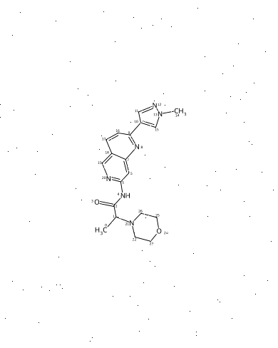 CC(C(=O)Nc1cc2nc(-c3cnn(C)c3)ccc2cn1)N1CCOCC1